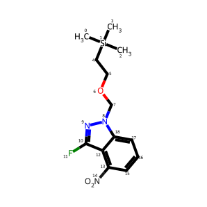 C[Si](C)(C)CCOCn1nc(F)c2c([N+](=O)[O-])cccc21